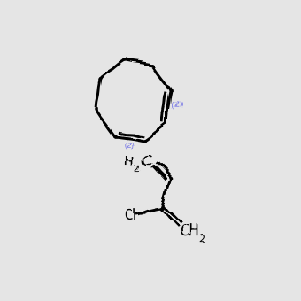 C1=C\CCCC\C=C/1.C=CC(=C)Cl